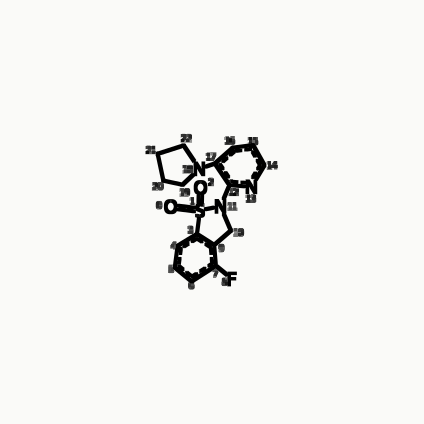 O=S1(=O)c2cccc(F)c2CN1c1ncccc1N1CCCC1